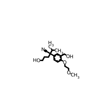 COCCOc1ccc(C(C#N)(CCCO)C(C)C)cc1CO